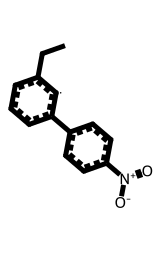 CCc1[c]c(-c2ccc([N+](=O)[O-])cc2)ccc1